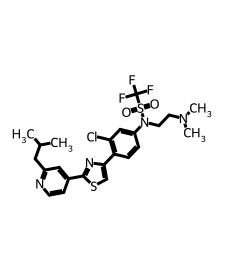 CC(C)Cc1cc(-c2nc(-c3ccc(N(CCN(C)C)S(=O)(=O)C(F)(F)F)cc3Cl)cs2)ccn1